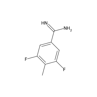 Cc1c(F)cc(C(=N)N)cc1F